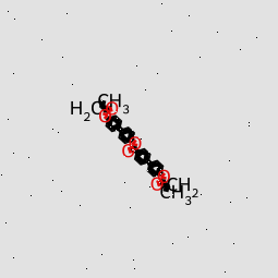 C=C(C)C(=O)Oc1ccc(-c2ccc(OC(=O)c3ccc(-c4ccc(OC(=O)C(=C)C)cc4)cc3)cc2)cc1